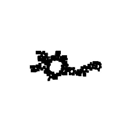 COC1(C2CCCCC2)CCN(c2ccc(-c3nnc([C@H]4CC[C@H](CN[C@H]5C[C@@H](O)CNC(=O)[C@@H]6[C@@H](O)[C@@H](C)CN6C(=O)[C@H]([C@H](O)CCNC(CO)CO)NC(=O)[C@H]([C@H](O)Cc6ccc(O)c(OS(=O)(=O)O)c6)NC(=O)[C@@H]6CC(O)CN6C(=O)[C@H]([C@@H](C)O)NC5=O)CC4)s3)c(Cl)c2)CC1